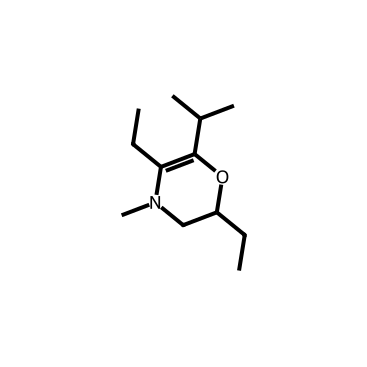 CCC1=C(C(C)C)OC(CC)CN1C